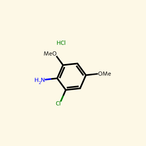 COc1cc(Cl)c(N)c(OC)c1.Cl